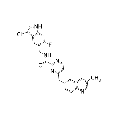 Cc1cnc2ccc(Cc3ccnc(C(=O)NCc4cc5c(Cl)c[nH]c5cc4F)n3)cc2c1